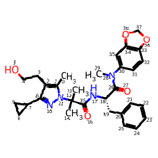 Cc1c(CCO)c(C2CC2)nn1C(C)(C)C(=O)N[C@@H](Cc1ccccc1)C(=O)N(C)c1ccc2c(c1)OCO2